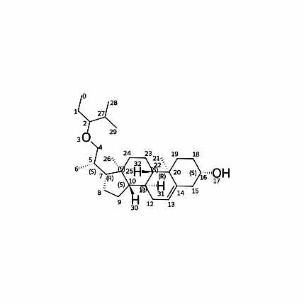 CCC(OC[C@@H](C)[C@H]1CC[C@H]2[C@@H]3CC=C4C[C@@H](O)CC[C@]4(C)[C@H]3CC[C@]12C)C(C)C